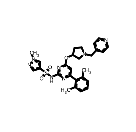 Cc1cccc(C)c1-c1cc(OC2CCN(Cc3ccncc3)C2)nc(NS(=O)(=O)c2cnn(C)c2)n1